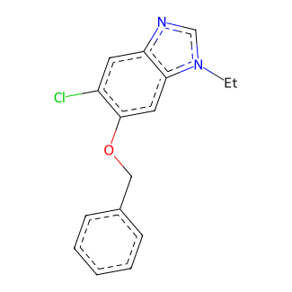 CCn1cnc2cc(Cl)c(OCc3ccccc3)cc21